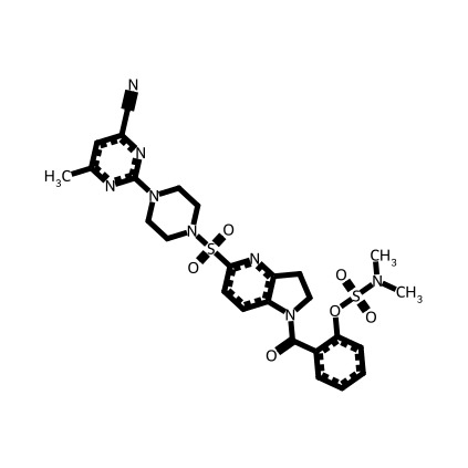 Cc1cc(C#N)nc(N2CCN(S(=O)(=O)c3ccc4c(n3)CCN4C(=O)c3ccccc3OS(=O)(=O)N(C)C)CC2)n1